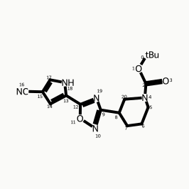 CC(C)(C)OC(=O)N1CCCC(c2noc(-c3cc(C#N)c[nH]3)n2)C1